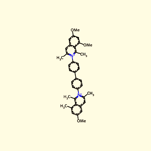 COc1cc(C)c2c(C)[n+](-c3ccc(-c4ccc(-[n+]5c(C)cc6cc(OC)cc(OC)c6c5C)cc4)cc3)c(C)cc2c1